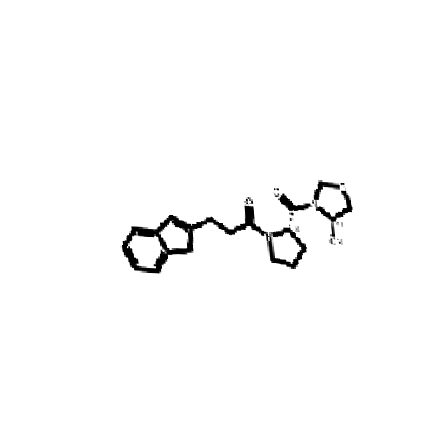 N#C[C@@H]1CSCN1C(=O)[C@@H]1CCCN1C(=O)CCC1=Cc2ccccc2C1